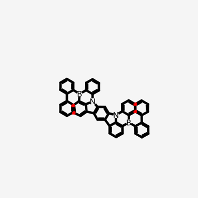 c1ccc(-c2ccccc2B2c3ccccc3-n3c4cc5c(cc4c4cccc2c43)c2cccc3c2n5-c2ccccc2B3c2ccccc2-c2ccccc2)cc1